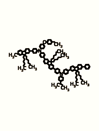 C=Cc1ccc(Oc2ccc(N(c3ccc(-c4ccc5c(c4)C(CCCCCC)(CCCCCC)c4cc(C)ccc4-5)cc3)c3ccc(-c4ccc5c(c4)C(CCCCCC)(CCCCCC)c4cc(-c6ccc(N(c7ccc(-c8ccc9c(c8)C(CCCCCC)(CCCCCC)c8cc(-c%10ccccc%10)ccc8-9)cc7)c7ccc(C(C)CC)cc7)cc6)ccc4-5)cc3)cc2)cc1